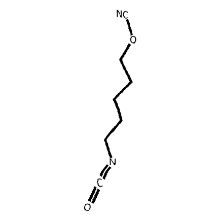 N#COCCCCCN=C=O